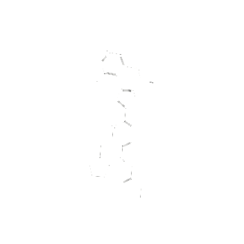 COC(=O)CNC(=O)[C@H](CC1CCCC1)NC(=O)c1ccc([C@H](C)Nc2cc(Cl)cnc2C)s1